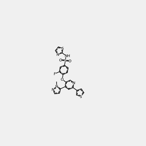 Cn1nccc1-c1cc(-c2ccsc2)ncc1Oc1ccc(S(=O)(=O)Nc2nccs2)cc1F